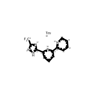 FC(F)(F)c1n[nH]c(-c2cccc(-c3ccccn3)n2)n1.[Tm]